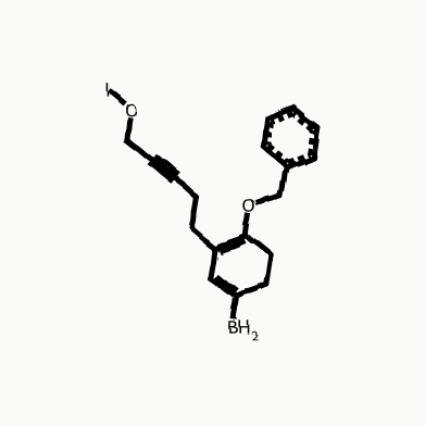 BC1=CC(CCC#CCOI)=C(OCc2ccccc2)CC1